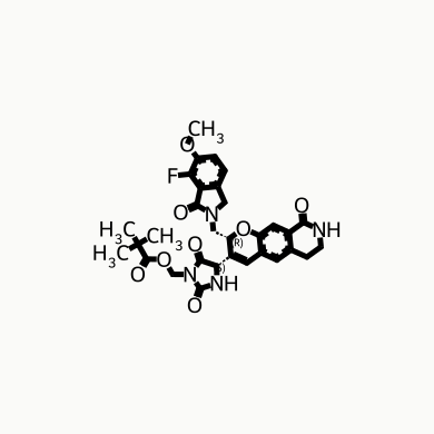 COc1ccc2c(c1F)C(=O)N(C[C@@H]1Oc3cc4c(cc3C=C1[C@@H]1NC(=O)N(COC(=O)C(C)(C)C)C1=O)CCNC4=O)C2